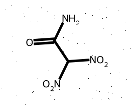 NC(=O)C([N+](=O)[O-])[N+](=O)[O-]